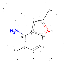 Cc1cc2c(o1)C=CC(C)C2N